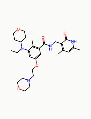 CCN(c1cc(OCCN2CCOCC2)cc(C(=O)NCc2c(C)cc(C)[nH]c2=O)c1C)C1CCOCC1